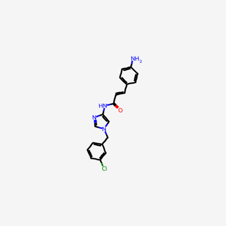 Nc1ccc(/C=C/C(=O)Nc2cn(Cc3cccc(Cl)c3)cn2)cc1